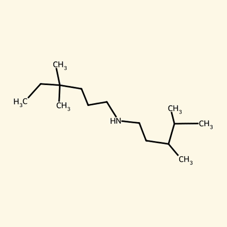 CCC(C)(C)CCCNCCC(C)C(C)C